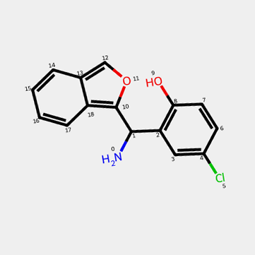 NC(c1cc(Cl)ccc1O)c1occ2ccccc12